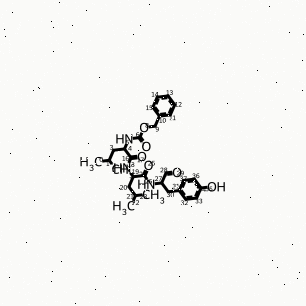 CC(C)CC(NC(=O)OCc1ccccc1)C(=O)NC(CC(C)C)C(=O)NC([C]=O)Cc1ccc(O)cc1